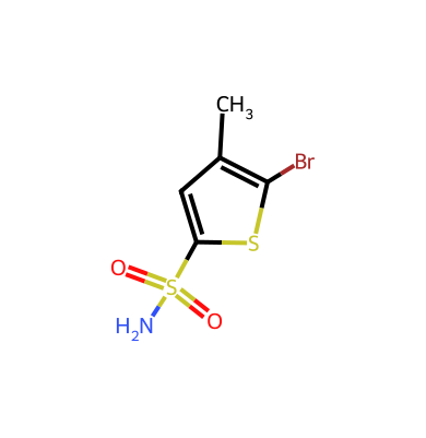 Cc1cc(S(N)(=O)=O)sc1Br